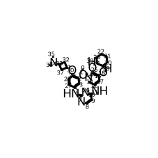 COc1cc(Nc2nccc(Nc3cnc4c(c3)O[C@H]3CCCC[C@@H]3O4)n2)ccc1OC1CC(N(C)C)C1